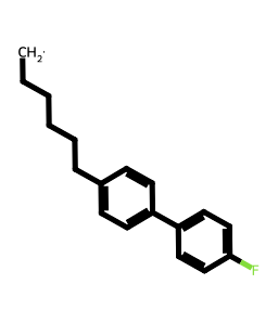 [CH2]CCCCCc1ccc(-c2ccc(F)cc2)cc1